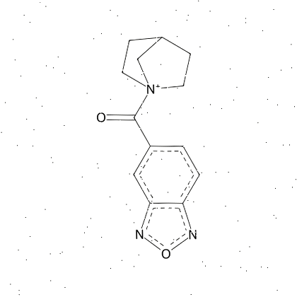 O=C(c1ccc2nonc2c1)[N+]12CCC(CC1)C2